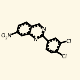 O=[N+]([O-])c1ccc2cnc(-c3ccc(Cl)c(Cl)c3)nc2c1